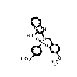 Cc1c(N(Cc2ccc(OC(F)(F)F)cc2)S(=O)(=O)c2ccc(C(=O)O)cc2)nc2ccccn12